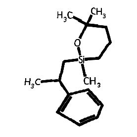 CC(C[Si]1(C)CCCC(C)(C)O1)c1ccccc1